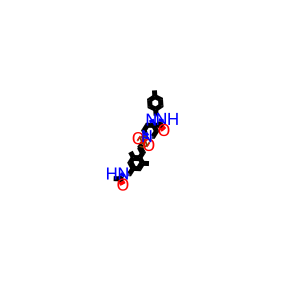 CC(=O)NCc1cc(C)c(C=CS(=O)(=O)N2CCC3(CC2)N=C(C2CCC(C)CC2)NC3=O)c(C)c1